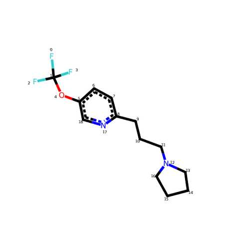 FC(F)(F)Oc1ccc(CCCN2CCCC2)nc1